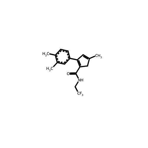 CC1=CC(c2ccc(C)c(C)c2)=C(C(=O)NCC(F)(F)F)C1